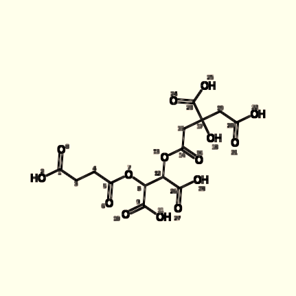 O=C(O)CCC(=O)OC(C(=O)O)C(OC(=O)CC(O)(CC(=O)O)C(=O)O)C(=O)O